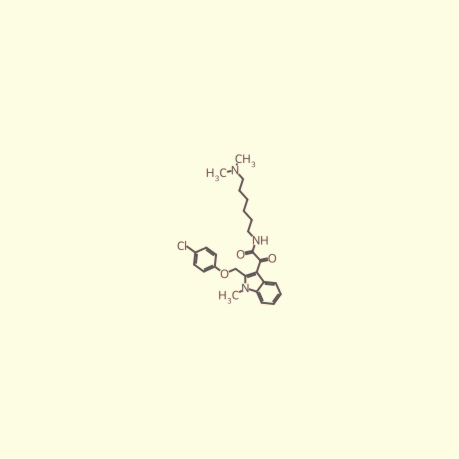 CN(C)CCCCCCNC(=O)C(=O)c1c(COc2ccc(Cl)cc2)n(C)c2ccccc12